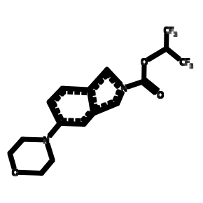 O=C(OC(C(F)(F)F)C(F)(F)F)n1cc2ccc(N3CCOCC3)cc2c1